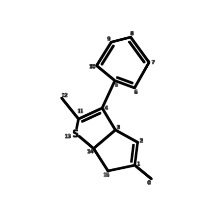 CC1=CC2C(c3ccccc3)=C(C)SC2C1